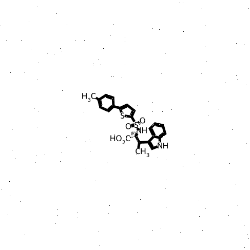 Cc1ccc(-c2ccc(S(=O)(=O)N[C@@H](C(=O)O)C(C)c3c[nH]c4ccccc34)s2)cc1